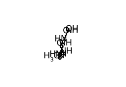 CC(Nc1ncnc2[nH]c(-c3ccc(C(=O)NCCNCCCCCC(=O)NO)cc3)cc12)c1ccccc1